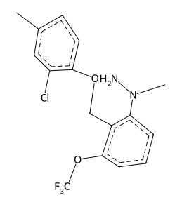 Cc1ccc(OCc2c(OC(F)(F)F)cccc2N(C)N)c(Cl)c1